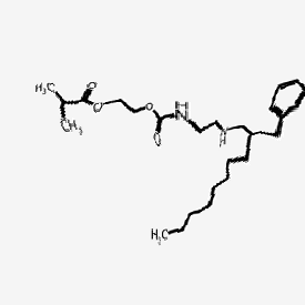 CCCCCCCCC(CNCCNC(=O)OCCOC(=O)C(C)C)Cc1ccccc1